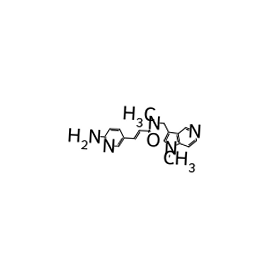 CN(Cc1cn(C)c2ccncc12)C(=O)C=Cc1ccc(N)nc1